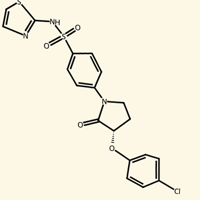 O=C1[C@@H](Oc2ccc(Cl)cc2)CCN1c1ccc(S(=O)(=O)Nc2nccs2)cc1